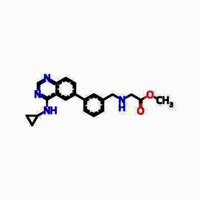 COC(=O)CNCc1cccc(-c2ccc3ncnc(NC4CC4)c3c2)c1